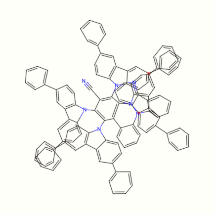 N#Cc1c(-n2c3ccc(-c4ccccc4)cc3c3cc(-c4ccccc4)ccc32)c(-n2c3ccc(-c4ccccc4)cc3c3cc(-c4ccccc4)ccc32)c(-c2ccccc2-n2c3ccccc3c3ncccc32)c(-n2c3ccc(-c4ccccc4)cc3c3cc(-c4ccccc4)ccc32)c1-n1c2ccc(-c3ccccc3)cc2c2cc(-c3ccccc3)ccc21